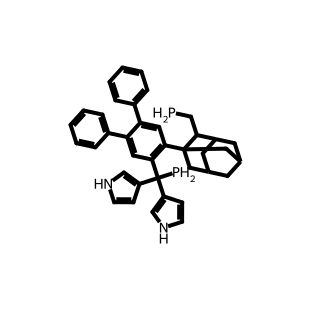 PCC1C2CC3CC(C2)CC1(c1cc(-c2ccccc2)c(-c2ccccc2)cc1C(P)(c1cc[nH]c1)c1cc[nH]c1)C3